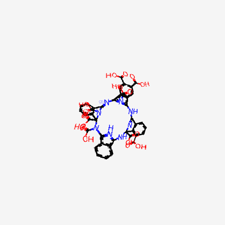 O=C(O)c1cc2c3n(C(=O)O)c(c2cc1C(=O)O)NC1=NC(C(=O)O)(Nc2[nH]c(c4ccccc24)N(C(=O)O)C2(C(=O)O)c4ccccc4/C(=N/3)N2C(=O)O)c2c(C(=O)O)cccc21